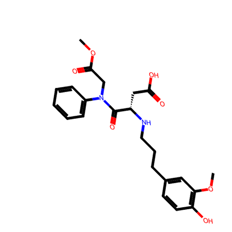 COC(=O)CN(C(=O)[C@H](CC(=O)O)NCCCc1ccc(O)c(OC)c1)c1ccccc1